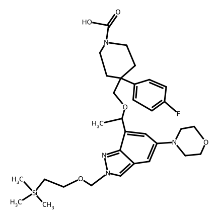 CC(OCC1(c2ccc(F)cc2)CCN(C(=O)O)CC1)c1cc(N2CCOCC2)cc2cn(COCC[Si](C)(C)C)nc12